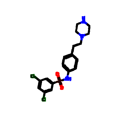 O=S(=O)(Nc1ccc(CCN2CCNCC2)cc1)c1cc(Cl)cc(Cl)c1